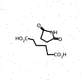 O=C(O)CCCCC(=O)O.O=C1CCC(=O)N1